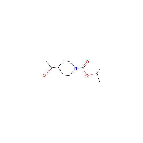 CC(=O)C1CCN(C(=O)OC(C)C)CC1